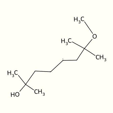 COC(C)(C)C[CH]CCC(C)(C)O